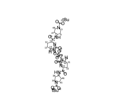 CC(C)(C)OC(=O)N1CCC(NC(=O)[C@@H]2CC[C@@H]3CN2C(=O)N3OS(=O)(=O)ON2C(=O)N3C[C@H]2CC[C@H]3C(=O)NC2CCN(C(=O)OC(C)(C)C)CC2)CC1